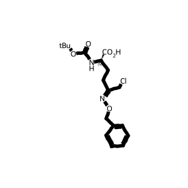 CC(C)(C)OC(=O)N[C@@H](CCC(CCl)=NOCc1ccccc1)C(=O)O